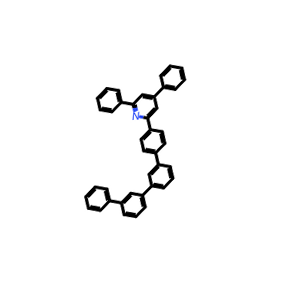 c1ccc(-c2cccc(-c3cccc(-c4ccc(-c5cc(-c6ccccc6)cc(-c6ccccc6)n5)cc4)c3)c2)cc1